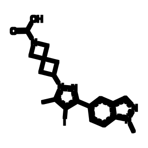 Cc1c(I)c(-c2ccc3c(cnn3C)c2)nn1C1CC2(C1)CN(C(=O)O)C2